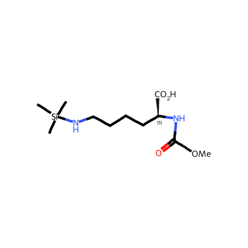 COC(=O)N[C@@H](CCCCN[Si](C)(C)C)C(=O)O